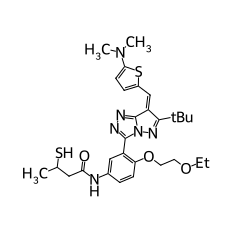 CCOCCOc1ccc(NC(=O)CC(C)S)cc1-c1nnc2/c(=C\c3ccc(N(C)C)s3)c(C(C)(C)C)nn12